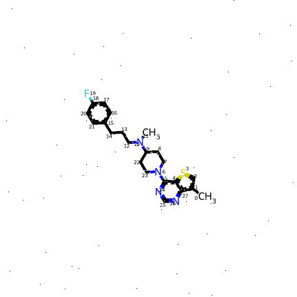 Cc1csc2c(N3CCC(N(C)CCCc4ccc(F)cc4)CC3)ncnc12